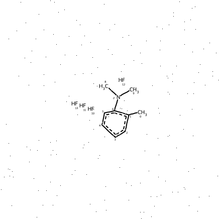 Cc1ccccc1N(C)C.F.F.F.F